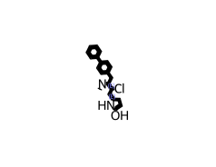 C=N/C(Cc1ccc(-c2ccccc2)cc1)=C(Cl)\C=C1/CC=C(O)N1